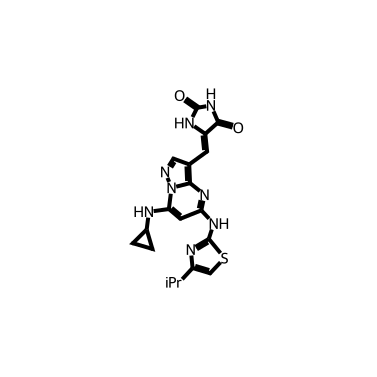 CC(C)c1csc(Nc2cc(NC3CC3)n3ncc(/C=C4\NC(=O)NC4=O)c3n2)n1